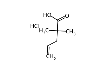 C=CCC(C)(C)C(=O)O.Cl